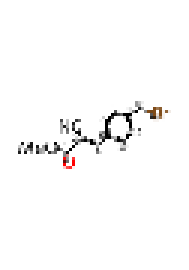 COC(=O)/C(C#N)=C/c1ccc(CBr)cc1